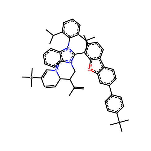 C=CC(C(C[n+]1c(-c2c(C)ccc3c2oc2cc(-c4ccc(C(C)(C)C)cc4)ccc23)n(-c2c(C(C)C)cccc2C(C)C)c2ccccc21)C(=C)C)[N+](=C)/C=C(\C)[Si](C)(C)C